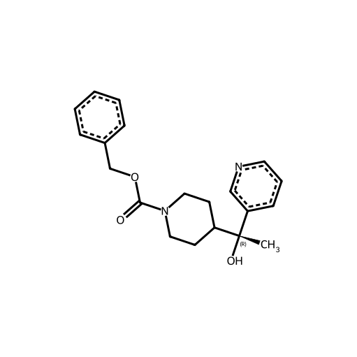 C[C@](O)(c1cccnc1)C1CCN(C(=O)OCc2ccccc2)CC1